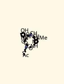 C/C=C1\NC(=O)c2nc(ccc2SC)CNC(=O)C[C@@H](/C=C/CCSC(C)=O)OC(=O)[C@H](Cc2ccc(O)cc2)NC1=O